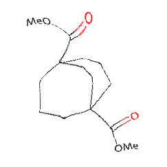 COC(=O)C12CCCC(C(=O)OC)(CC1)C2